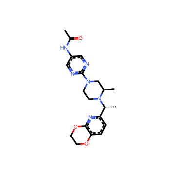 CC(=O)Nc1cnc(N2CCN([C@H](C)c3ccc4c(n3)OCCO4)[C@H](C)C2)nc1